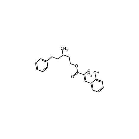 C/C(=C\c1ccccc1O)C(=O)OCCC(C)CCc1ccccc1